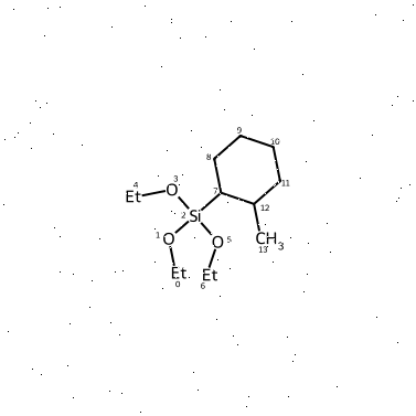 CCO[Si](OCC)(OCC)C1CCCCC1C